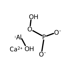 [Ca+2].[O-]P([O-])OO.[OH][Al]